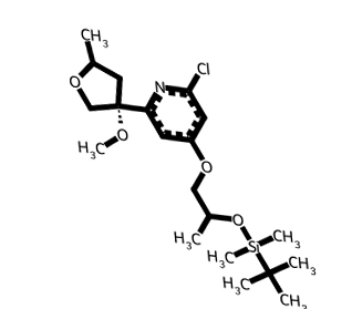 CO[C@]1(c2cc(OCC(C)O[Si](C)(C)C(C)(C)C)cc(Cl)n2)COC(C)C1